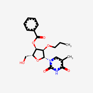 CCCO[C@@H]1[C@H](OC(=O)c2ccccc2)[C@@H](CO)O[C@H]1n1cc(C)c(=O)[nH]c1=O